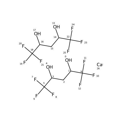 OC(CC(O)C(F)(F)F)C(F)(F)F.OC(CC(O)C(F)(F)F)C(F)(F)F.[Ca]